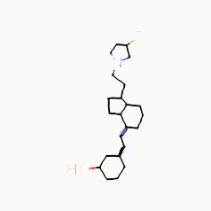 OC1CCC/C(=C/C=C2\CCCC3C(CCN4CCC(F)C4)CCC23)C1